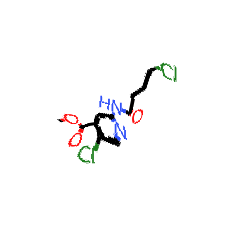 COC(=O)c1cc(NC(=O)CCCCl)ncc1Cl